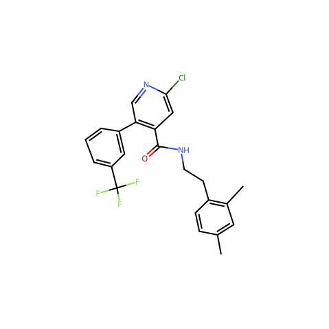 Cc1ccc(CCNC(=O)c2cc(Cl)ncc2-c2cccc(C(F)(F)F)c2)c(C)c1